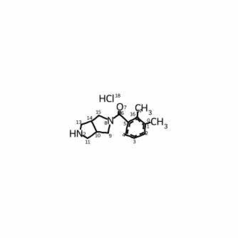 Cc1cccc(C(=O)N2CC3CNCC3C2)c1C.Cl